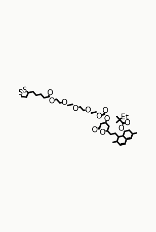 CCC(C)(C)C(=O)OC1CC(C)C=C2C=CC(C)C(CCC3CC(OC(=O)OCCOCCOCCOCCOC(=O)CCCCC4CCSS4)CC(=O)O3)C21